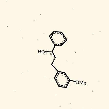 COc1cccc(CC[C@@H](O)c2ccccc2)c1